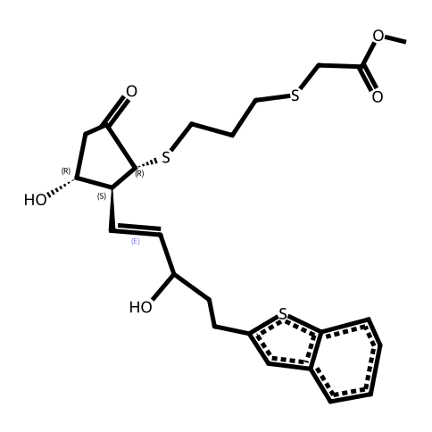 COC(=O)CSCCCS[C@H]1C(=O)C[C@@H](O)[C@@H]1/C=C/C(O)CCc1cc2ccccc2s1